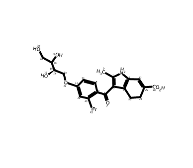 Cc1[nH]c2c(c1C(=O)c1ccc(OC[C@@H](O)C(O)CO)cc1C(C)C)CCC(C(=O)O)=C2